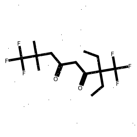 CCC(CC)(C(=O)CC(=O)CC(C)(C)C(F)(F)F)C(F)(F)F